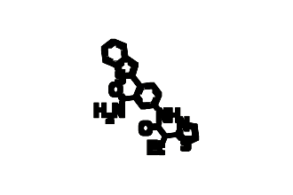 CCC(C(=O)Nc1ccc(-c2cc3ccccc3s2)c(C(N)=O)c1)c1nccs1